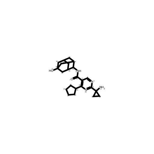 NC1(c2ncc(C(=O)NC3C4CC5CC3CC(O)(C5)C4)c(C3CCCC3)n2)CC1